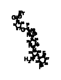 CC(C)OC(=O)N1CC[C@H](O[C@H](C)c2noc(-c3cnc(N4C[C@H](c5cc(F)ccc5F)[C@@H](N)C4)nc3)n2)C1